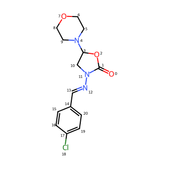 O=C1OC(N2CCOCC2)CN1N=Cc1ccc(Cl)cc1